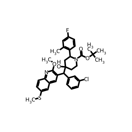 COc1nc2ccc(SC)cc2cc1C(c1cccc(Cl)c1)C1(O)CCN(C(=O)OC(C)(C)C)C(c2ccc(F)cc2C)C1